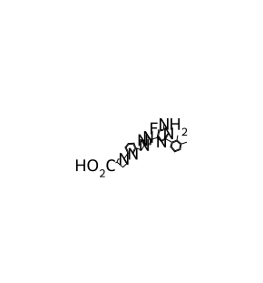 Cc1cccc(-c2nc(N)c(F)c(-c3cn(Cc4cccc(N5CCC(C(=O)O)C5)n4)nn3)n2)c1C